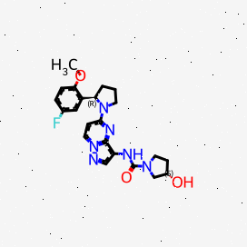 COc1ccc(F)cc1[C@H]1CCCN1c1ccn2ncc(NC(=O)N3CC[C@H](O)C3)c2n1